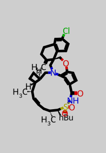 C=C1CCc2cc(Cl)ccc2[C@@]12COc1ccc3cc1N(C[C@@H]1CC[C@H]1[C@@H](C)/C=C\C[C@@H](C)[C@H](CCCC)S(=O)(=O)NC3=O)C2